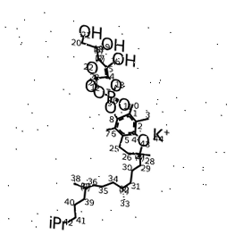 Cc1c(C)c2c(c(C)c1OP(=O)([O-])OC1=C(O)[C@@H]([C@@H](O)CO)OC1=O)CC[C@@](C)(CCC[C@H](C)CCC[C@H](C)CCCC(C)C)O2.[K+]